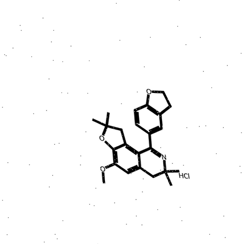 COc1cc2c(c3c1OC(C)(C)C3)C(c1ccc3c(c1)CCO3)=NC(C)(C)C2.Cl